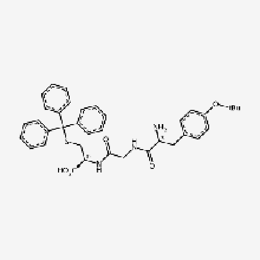 CC(C)(C)Oc1ccc(C[C@H](N)C(=O)NCC(=O)N[C@H](CSC(c2ccccc2)(c2ccccc2)c2ccccc2)C(=O)O)cc1